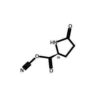 N#COC(=O)[C@@H]1CCC(=O)N1